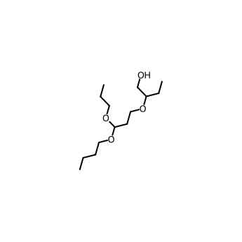 CCCCOC(CCOC(CC)CO)OCCC